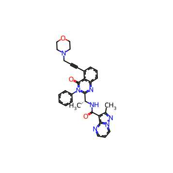 Cc1nn2cccnc2c1C(=O)N[C@H](C)c1nc2cccc(C#CCN3CCOCC3)c2c(=O)n1-c1ccccc1